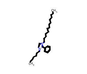 CCCCCCCCCCCCCCn1cc[n+](CCCCCCC)c1-c1ccccc1